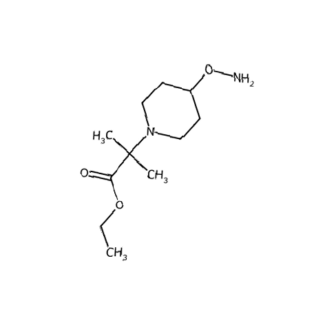 CCOC(=O)C(C)(C)N1CCC(ON)CC1